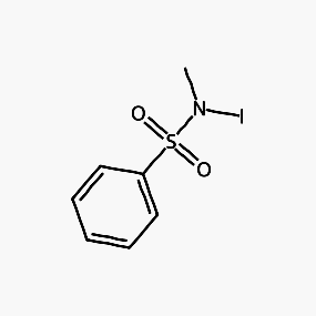 CN(I)S(=O)(=O)c1ccccc1